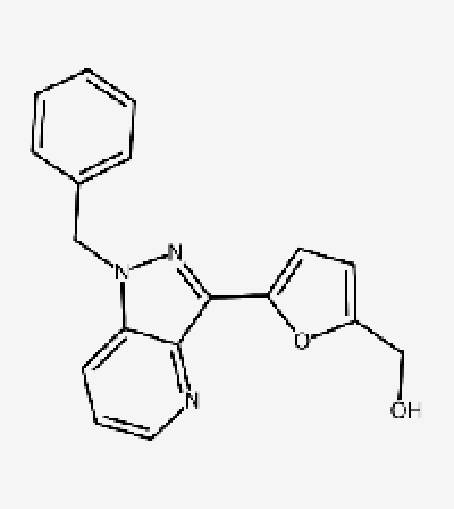 OCc1ccc(-c2nn(Cc3ccccc3)c3cccnc23)o1